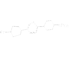 CCCCCC1CCC(c2ccc(C3CCC(CCC)CC3)cc2)CC1